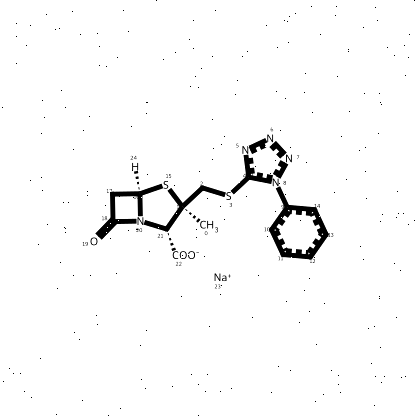 C[C@@]1(CSc2nnnn2-c2ccccc2)S[C@@H]2CC(=O)N2[C@H]1C(=O)[O-].[Na+]